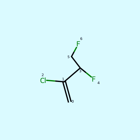 C=C(Cl)C(F)CF